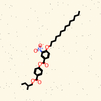 CCCCCCCCCCCCCCOc1ccc(C(=O)Oc2ccc(C(=O)OCC(C)CC)cc2)cc1[N+](=O)[O-]